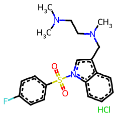 CN(C)CCN(C)Cc1cn(S(=O)(=O)c2ccc(F)cc2)c2ccccc12.Cl